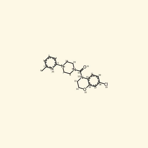 Cc1cccc(N2CCN(C(=O)N3CCOc4cc(Cl)ccc43)CC2)n1